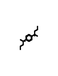 CCC[C](C)c1ccc([C](C)CCC)cc1